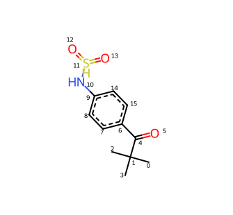 CC(C)(C)C(=O)c1ccc(N[SH](=O)=O)cc1